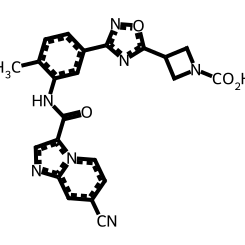 Cc1ccc(-c2noc(C3CN(C(=O)O)C3)n2)cc1NC(=O)c1cnc2cc(C#N)ccn12